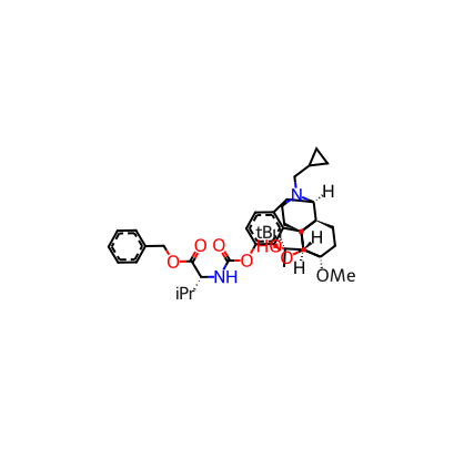 CO[C@@]12CC[C@@]3(C[C@@H]1[C@@](C)(O)C(C)(C)C)[C@H]1Cc4ccc(OC(=O)N[C@@H](C(=O)OCc5ccccc5)C(C)C)c5c4[C@@]3(CCN1CC1CC1)[C@H]2O5